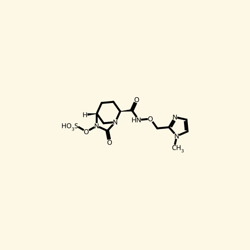 Cn1ccnc1CONC(=O)[C@@H]1CC[C@@H]2CN1C(=O)N2OS(=O)(=O)O